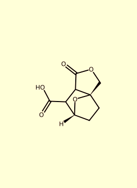 O=C(O)C1C2C(=O)OC[C@]23CC[C@H]1O3